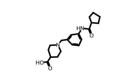 O=C(O)C1CCN(Cc2cccc(NC(=O)C3CCCC3)c2)CC1